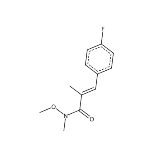 CON(C)C(=O)/C(C)=C/c1ccc(F)cc1